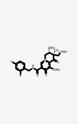 COC[C@@]1(C)C(=O)c2c(OC)c(=O)c(C(=O)NCc3ccc(F)cc3F)cn2C[C@@H]1OC